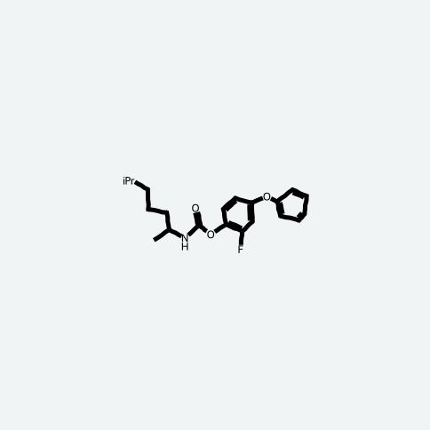 CC(C)CCCC(C)NC(=O)Oc1ccc(Oc2ccccc2)cc1F